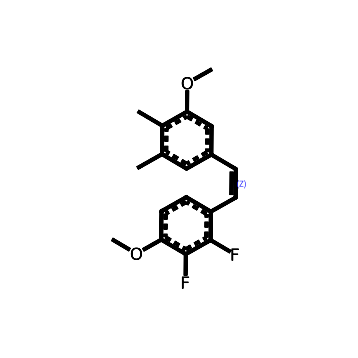 COc1cc(/C=C\c2ccc(OC)c(F)c2F)cc(C)c1C